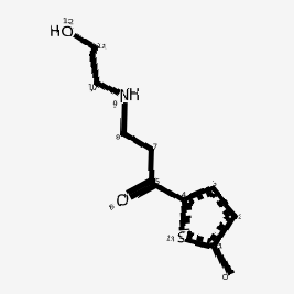 Cc1ccc(C(=O)CCNCCO)s1